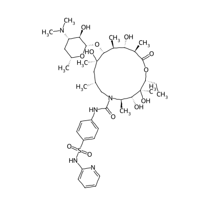 CC[C@H]1OC(=O)[C@H](C)[C@@H](O)[C@H](C)[C@@H](O[C@@H]2O[C@H](C)C[C@H](N(C)C)[C@H]2O)[C@](C)(O)C[C@@H](C)CN(C(=O)Nc2ccc(S(=O)(=O)Nc3ccccn3)cc2)[C@H](C)[C@@H](O)[C@]1(C)O